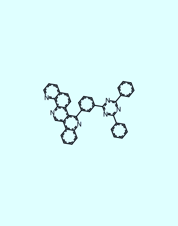 c1ccc(-c2nc(-c3ccccc3)nc(-c3cccc(-c4nc5ccccc5c5cnc6c(ccc7cccnc76)c45)c3)n2)cc1